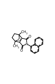 CC12CCC(C)(O1)C1C(=O)N(c3cccc4ccccc34)C(=O)C12